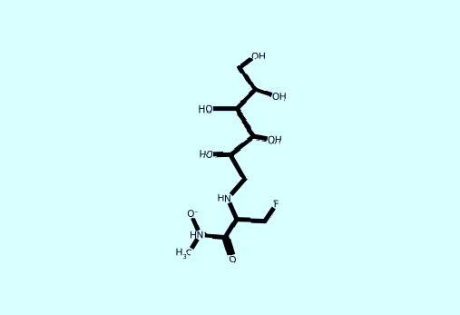 C[NH+]([O-])C(=O)C(CF)NCC(O)C(O)C(O)C(O)CO